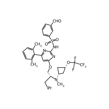 Cc1cccc(C)c1-c1cc(OC[C@@H](CC(C)C)N(C)[C@H]2C[C@@H](OC(F)(F)C(F)(F)F)C2)nc(NS(=O)(=O)c2cccc(C=O)c2)n1